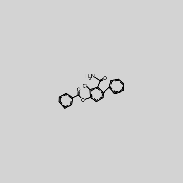 NC(=O)c1c(-c2ccccc2)ccc(OC(=O)c2ccccc2)c1Cl